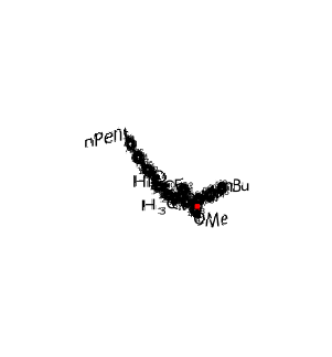 CCCCC[C@H]1CC[C@H](c2ccc(-c3ccc(C(=O)Nc4ccc(-c5ccc6c(c5)-c5c(c7c(c8ccccc58)OC(c5ccc(OC)cc5)(c5ccc(N8CCN(c9ccc(CCCC)cc9)CC8)cc5)C=C7)C6(C)C)c(C(F)(F)F)c4)cc3)cc2)CC1